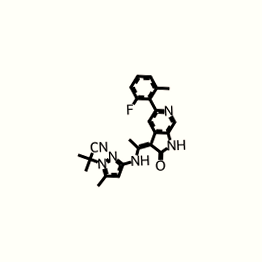 C/C(Nc1cc(C)n(C(C)(C)C#N)n1)=C1/C(=O)Nc2cnc(-c3c(C)cccc3F)cc21